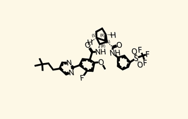 COc1cc(F)c(-c2ncc(CCC(C)(C)C)cn2)cc1C(=O)N[C@@H]1[C@H]2CC[C@H](C2)[C@@H]1C(=O)Nc1cccc(S(=O)(=O)C(F)(F)F)c1